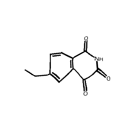 CCc1ccc2c(c1)C(=O)C(=O)NC2=O